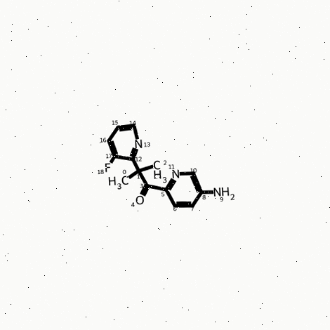 CC(C)(C(=O)c1ccc(N)cn1)c1ncccc1F